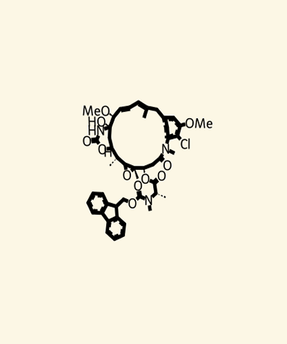 COc1cc2cc(c1Cl)N(C)C(=O)C[C@H](OC(=O)[C@H](C)N(C)C(=O)OCC1c3ccccc3-c3ccccc31)[C@]1(C)OC1[C@H](C)[C@@H]1C[C@@](O)(NC(=O)O1)[C@H](OC)/C=C/C=C(\C)C2